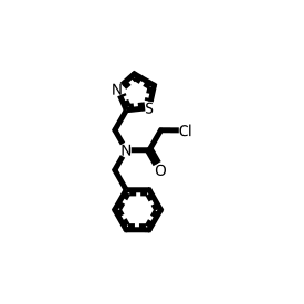 O=C(CCl)N(Cc1ccccc1)Cc1nccs1